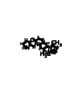 COc1cc2c(ccc(=O)n2Cc2ccccn2)cc1-n1c(C)nnc1C